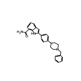 NC(=O)c1cccc2cc(-c3ccc(N4CCN(Cc5ccccc5)CC4)cc3)[nH]c12